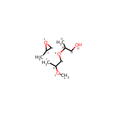 CC1CO1.COC(C)COC(C)CO